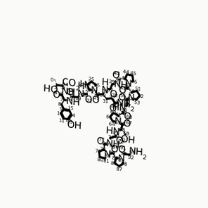 C[C@@H](O)[C@H](NC(=O)[C@H](Cc1ccc(O)cc1)NC(=O)CNC(=O)[C@@H]1CCCN1C(=O)[C@H](CCC(N)=O)NC(=O)CNC(=O)[C@@H]1CCCN1C(=O)[C@@H]1CCCN1C(=O)CNC(=O)[C@@H]1CCCN1C(=O)[C@H](CO)NC(=O)CNC(=O)[C@@H]1CCCN1C(=O)[C@@H]1CCCN1C(=O)CN)C(=O)O